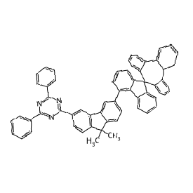 CC1(C)c2ccc(-c3nc(-c4ccccc4)nc(-c4ccccc4)n3)cc2-c2cc(-c3cccc4c3-c3ccccc3C43c4ccccc4C4=CC=CCC4c4ccccc43)ccc21